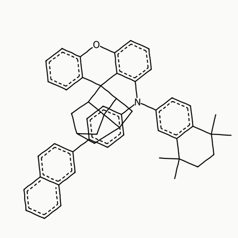 CC1(C)CCC(C)(C)c2cc(N(c3ccc(-c4ccc5ccccc5c4)cc3)c3cccc4c3C3(c5ccccc5O4)C4CC5CC6CC3C64C5)ccc21